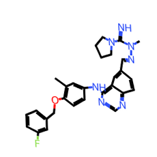 Cc1cc(Nc2ncnc3ccc(/C=N/N(C)C(=N)N4CCCC4)cc23)ccc1OCc1cccc(F)c1